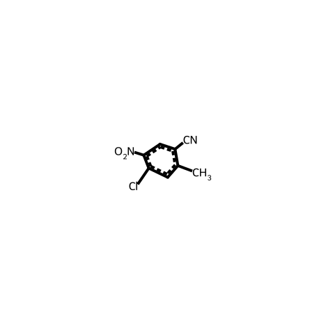 Cc1cc(Cl)c([N+](=O)[O-])cc1C#N